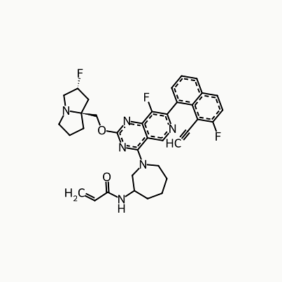 C#Cc1c(F)ccc2cccc(-c3ncc4c(N5CCCCC(NC(=O)C=C)C5)nc(OC[C@@]56CCCN5C[C@H](F)C6)nc4c3F)c12